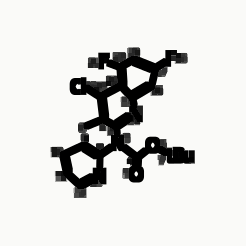 Cc1c(N(C(=O)OC(C)(C)C)c2ccccn2)nc2cc(F)cc(F)c2c1Cl